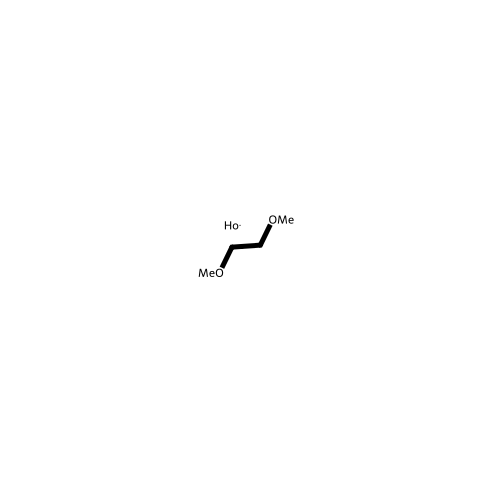 COCCOC.[Ho]